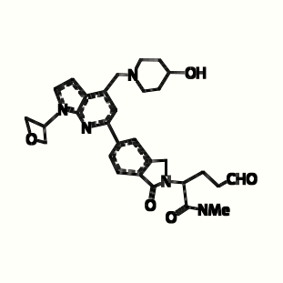 CNC(=O)C(CCC=O)N1Cc2cc(-c3cc(CN4CCC(O)CC4)c4ccn(C5COC5)c4n3)ccc2C1=O